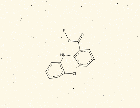 O=C(OF)c1ccccc1Nc1ccccc1Cl